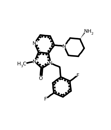 Cn1c(=O)n(Cc2cc(F)ccc2F)c2c(N3CCC[C@@H](N)C3)ccnc21